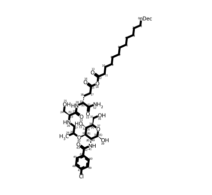 CCCCCCCCCCCCCCCCCCCCCC(=O)OC(=O)CC[C@@H](NC(=O)[C@H](CO)NCC(C)O[C@H]1[C@H](O)[C@@H](CO)O[C@H](O)[C@@H]1NC(=O)c1ccc(Cl)cc1)C(N)=O